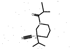 CC(C)C(=O)N1CCC[C@@](C#N)(C(C)C)C1